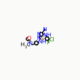 CN(Cc1ccc(Nc2nc3ncc(C#N)c(Nc4ccc(F)c(Cl)c4)c3s2)cc1)C[C@H]1CCCO1